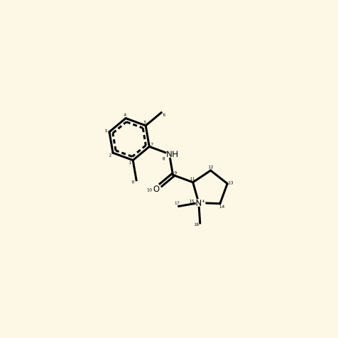 Cc1cccc(C)c1NC(=O)C1CCC[N+]1(C)C